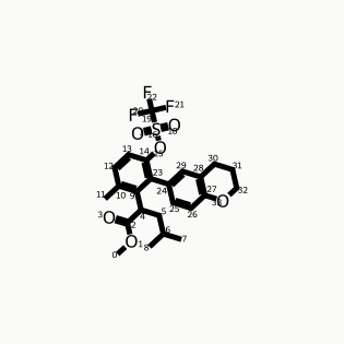 COC(=O)C(CC(C)C)c1c(C)ccc(OS(=O)(=O)C(F)(F)F)c1-c1ccc2c(c1)CCCO2